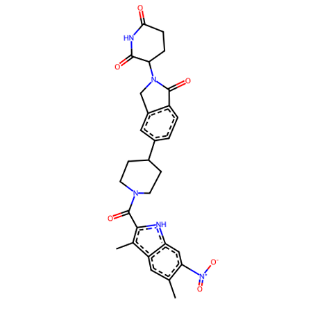 Cc1cc2c(C)c(C(=O)N3CCC(c4ccc5c(c4)CN(C4CCC(=O)NC4=O)C5=O)CC3)[nH]c2cc1[N+](=O)[O-]